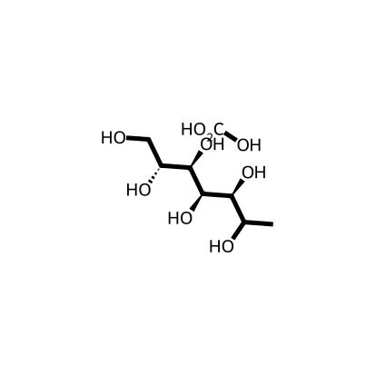 CC(O)[C@H](O)[C@@H](O)[C@H](O)[C@H](O)CO.O=C(O)O